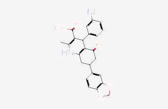 CC1=C(C(=O)O)C(c2cccc(N)c2)C2=C(CC(c3ccc4c(c3)OCO4)CC2=O)N1